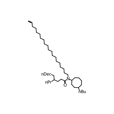 C=CCCCCCCCCCCCCCCCCCCN(C(=O)CCC(CCC)CCCCCCCCCCC)C1CCCCC(CCCC)CC1